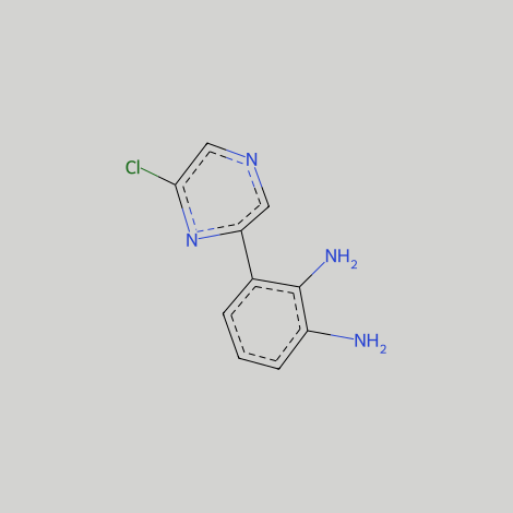 Nc1cccc(-c2cncc(Cl)n2)c1N